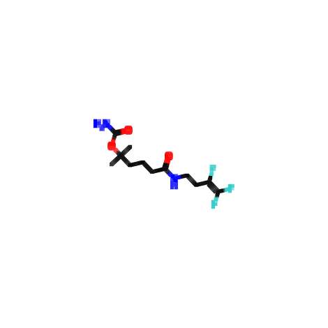 CC(C)(CCCC(=O)NCCC(F)=C(F)F)OC(N)=O